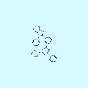 c1ccc(-c2nc(-c3ccccc3)nc(-c3cccc(-c4nc5ccccc5n4-c4ccncc4)c3)n2)cc1